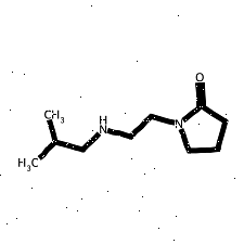 CC(C)CNCCN1CCCC1=O